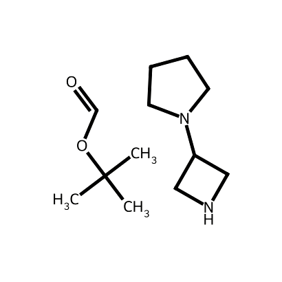 C1CCN(C2CNC2)C1.CC(C)(C)OC=O